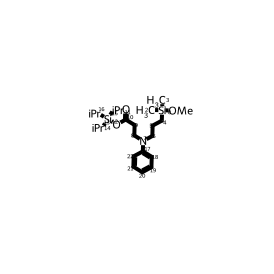 CO[Si](C)(C)CCCN(CCC(=O)O[Si](C(C)C)(C(C)C)C(C)C)c1ccccc1